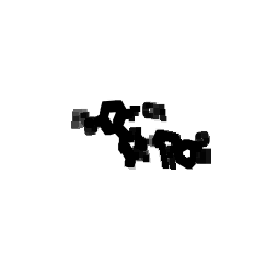 CCOc1ccc(F)c(-c2cc(C)nc([C@@H]3CCC4(CCNC(=O)C4)N3)n2)c1.Cl